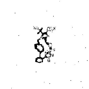 CCOCc1nc(C(=O)O)c(C(C)(C)O)n1Cc1ccc(-c2ccccc2-c2nnn[nH]2)cc1